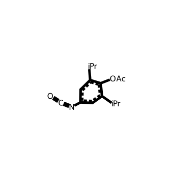 CC(=O)Oc1c(C(C)C)cc(N=C=O)cc1C(C)C